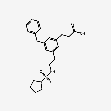 O=C(O)CCc1cc(CCNS(=O)(=O)N2CCCC2)cc(Cc2ccncc2)c1